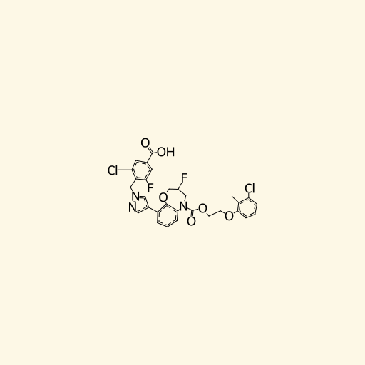 Cc1c(Cl)cccc1OCCOC(=O)N1CC(F)COc2c(-c3cnn(Cc4c(F)cc(C(=O)O)cc4Cl)c3)cccc21